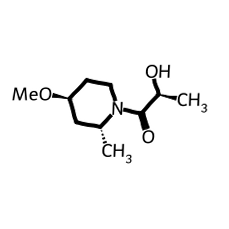 CO[C@H]1CCN(C(=O)[C@H](C)O)[C@H](C)C1